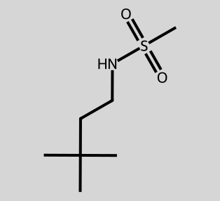 CC(C)(C)CCNS(C)(=O)=O